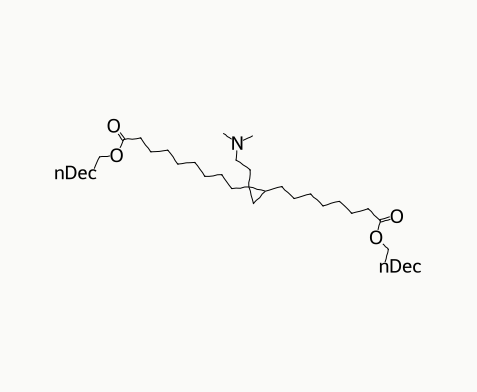 CCCCCCCCCCCOC(=O)CCCCCCCCC1(CCN(C)C)CC1CCCCCCCC(=O)OCCCCCCCCCCC